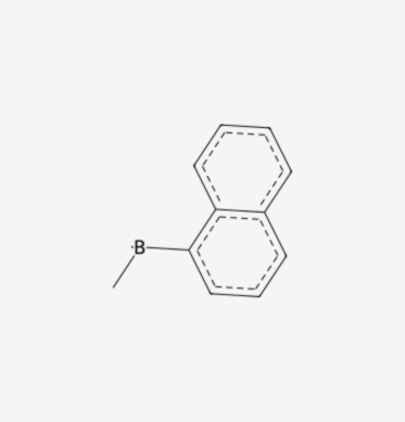 C[B]c1cccc2ccccc12